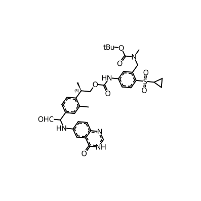 Cc1cc(C(C=O)Nc2ccc3nc[nH]c(=O)c3c2)ccc1[C@@H](C)COC(=O)Nc1ccc(S(=O)(=O)C2CC2)c(CN(C)C(=O)OC(C)(C)C)c1